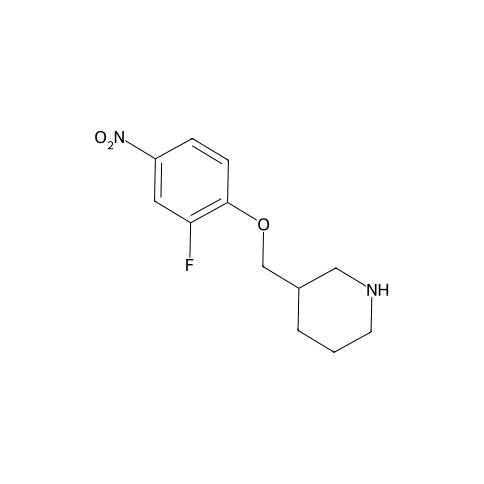 O=[N+]([O-])c1ccc(OCC2CCCNC2)c(F)c1